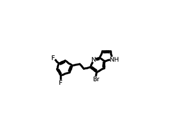 Fc1cc(F)cc(CCc2nc3cc[nH]c3cc2Br)c1